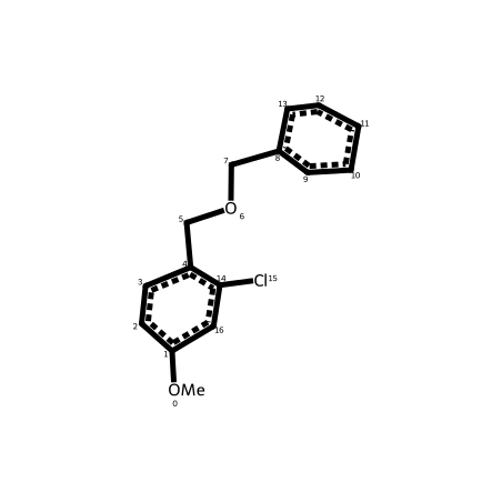 COc1ccc(COCc2ccccc2)c(Cl)c1